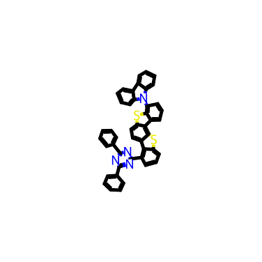 c1ccc(-c2nc(-c3ccccc3)nc(-c3cccc4sc5c(ccc6sc7c(-n8c9ccccc9c9ccccc98)cccc7c65)c34)n2)cc1